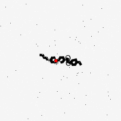 CCCCC[C@H]1CC[C@@H]([C@H]2CC[C@H](C(=O)OC3CCC(CC)CC3)CC2)[C@H](C)C1